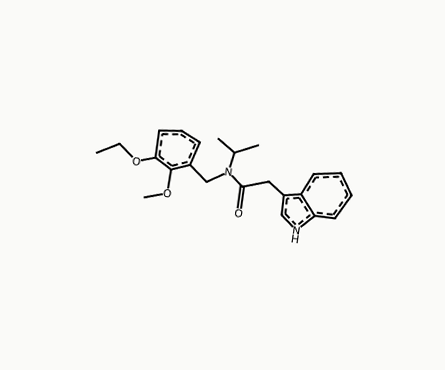 CCOc1cccc(CN(C(=O)Cc2c[nH]c3ccccc23)C(C)C)c1OC